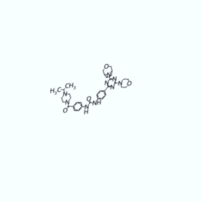 CC(C)N1CCN(C(=O)c2ccc(NC(=O)Nc3ccc(-c4nc(N5CCOCC5)nc(N5C6CCC5COC6)n4)cc3)cc2)CC1